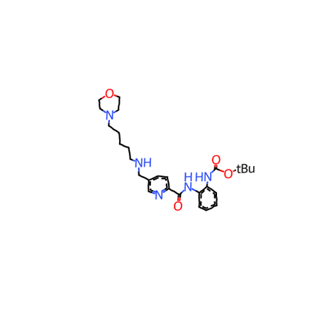 CC(C)(C)OC(=O)Nc1ccccc1NC(=O)c1ccc(CNCCCCCN2CCOCC2)cn1